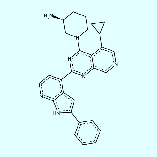 N[C@H]1CCCN(c2nc(-c3ccnc4[nH]c(-c5ccccc5)cc34)nc3cncc(C4CC4)c23)C1